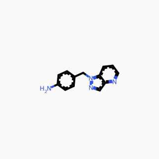 Nc1ccc(Cn2ncc3ncccc32)cc1